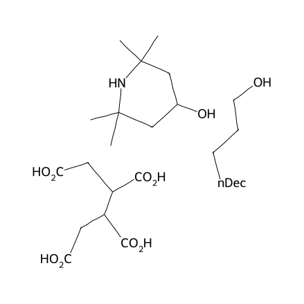 CC1(C)CC(O)CC(C)(C)N1.CCCCCCCCCCCCCO.O=C(O)CC(C(=O)O)C(CC(=O)O)C(=O)O